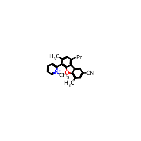 Cc1cc(C(C)C)c2c(oc3c(C)cc(C#N)cc32)c1-c1cccc[n+]1C